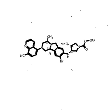 CO[C@@H]1CN(C(=O)OC(C)(C)C)C[C@H]1Nc1cc2c(cc1Br)[C@H]1CN(c3ccc(C#N)c4ncccc34)C[C@@H](C)N1C2